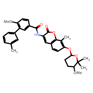 COc1ccc(C(=O)Nc2cc3ccc(OC4CCC(OC)C(C)(C)O4)c(C)c3oc2=O)cc1-c1cccc(C)c1